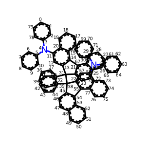 c1ccc(N(c2ccccc2)c2cc3c(c4ccccc24)-c2c(ccc4ccccc24)C3(c2ccccc2)C2(c3ccccc3)c3ccc4ccccc4c3-c3c2cc(N(c2ccccc2)c2ccccc2)c2ccccc32)cc1